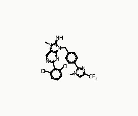 Cn1cc(C(F)(F)F)nc1-c1ccc(Cn2c(=N)n(C)c3cnc(-c4c(Cl)cccc4Cl)nc32)cc1